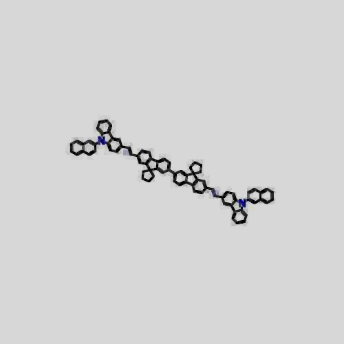 C(=C\c1ccc2c(c1)c1ccccc1n2-c1ccc2ccccc2c1)/c1ccc2c(c1)C1(CCCC1)c1cc(-c3ccc4c(c3)C3(CCCC3)c3cc(/C=C/c5ccc6c(c5)c5ccccc5n6-c5ccc6ccccc6c5)ccc3-4)ccc1-2